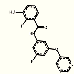 Nc1cccc(C(=O)Nc2cc(F)cc(Oc3cncnc3)c2)c1F